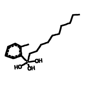 CCCCCCCCCCP(O)(O)(O)c1ccccc1C